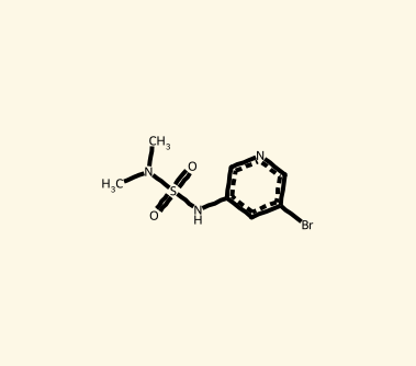 CN(C)S(=O)(=O)Nc1cncc(Br)c1